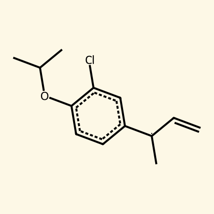 C=C[C](C)c1ccc(OC(C)C)c(Cl)c1